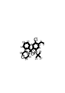 CCc1cc2c(cc1Cl)C(c1ccccc1)(N1CCOCC1)ON2C(C)(C)C